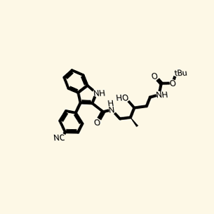 C[C@@H](CNC(=O)c1[nH]c2ccccc2c1-c1ccc(C#N)cc1)C(O)CCNC(=O)OC(C)(C)C